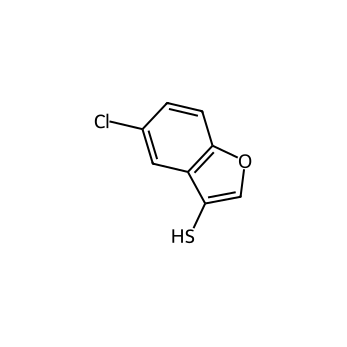 Sc1coc2ccc(Cl)cc12